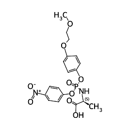 COCCOc1ccc(OP(=O)(N[C@@H](C)C(=O)O)Oc2ccc([N+](=O)[O-])cc2)cc1